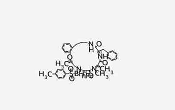 CCC[C@H]1C(=O)N(C)[C@H](C)C(=O)N[C@H](Cc2ccccc2)C(=O)NCCCc2ccccc2O[C@H](C)CN1BS(=O)(=O)c1ccc(C)cc1